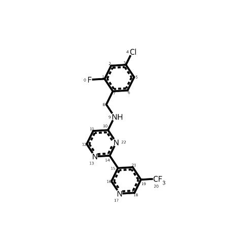 Fc1cc(Cl)ccc1CNc1ccnc(-c2cncc(C(F)(F)F)c2)n1